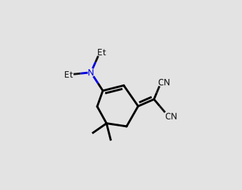 CCN(CC)C1=CC(=C(C#N)C#N)CC(C)(C)C1